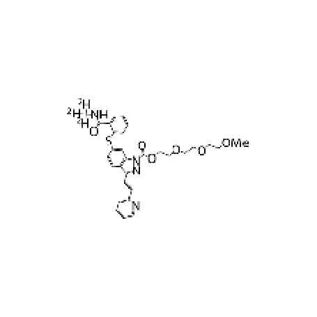 [2H]C([2H])([2H])NC(=O)c1ccccc1Sc1ccc2c(/C=C/c3ccccn3)nn(C(=O)OCCOCCOCCOC)c2c1